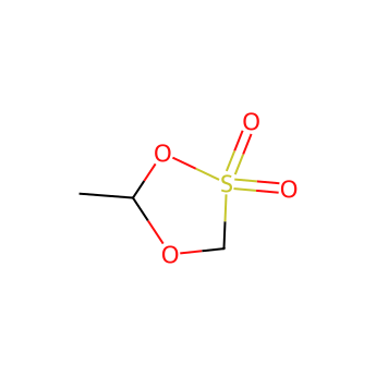 CC1OCS(=O)(=O)O1